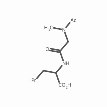 CC(=O)N(C)CC(=O)NC(CC(C)C)C(=O)O